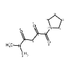 CN(C)C(=O)CC(=O)C(=O)N1CCCC1